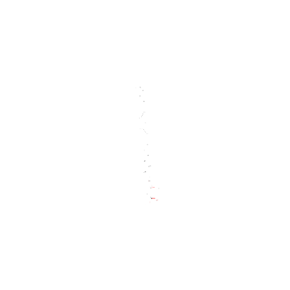 CCCCCC=CCC=CCCCCCCCCOC(=O)CC(=O)O